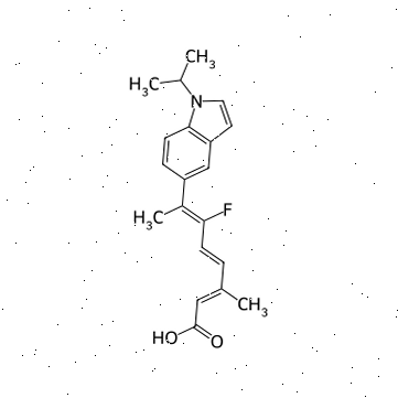 CC(C=CC(F)=C(C)c1ccc2c(ccn2C(C)C)c1)=CC(=O)O